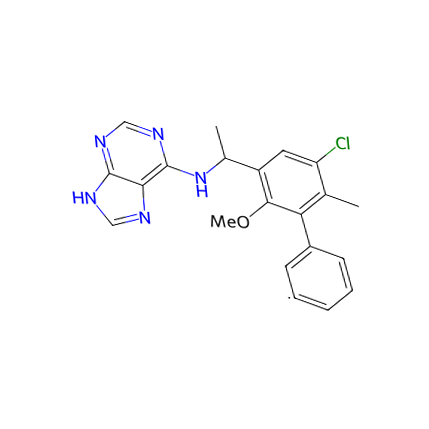 COc1c(C(C)Nc2ncnc3[nH]cnc23)cc(Cl)c(C)c1-c1c[c]ccc1